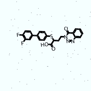 O=C(O)C(CCn1nnc2ccccc2c1=O)Sc1ccc(-c2ccc(F)c(F)c2)cc1